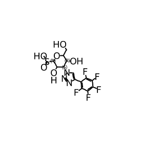 O=S(O)[C@H]1OC(CO)[C@H](O)[C@H](n2cc(-c3c(F)c(F)c(F)c(F)c3F)nn2)C1O